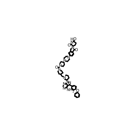 Nc1ncnc2c1c(-c1ccc(Oc3ccccc3)cc1)nn2[C@@H]1CCCN(CC2CCN(C(=O)N3CCC(N4CCN(c5ccc6c(c5)CN(C5CCC(=O)NC5=O)C6=O)CC4)CC3)CC2)C1